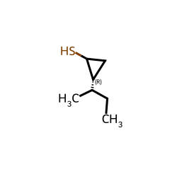 CCC(C)[C@H]1CC1S